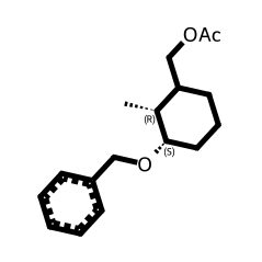 CC(=O)OCC1CCC[C@H](OCc2ccccc2)[C@@H]1C